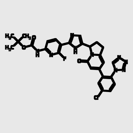 CC(C)(C)OC(=O)Nc1ccc(-c2ncc(C3CCc4cc(-c5cc(Cl)ccc5-n5cnnn5)cc(=O)n43)[nH]2)c(F)n1